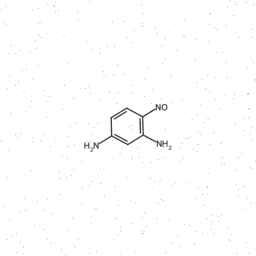 Nc1ccc(N=O)c(N)c1